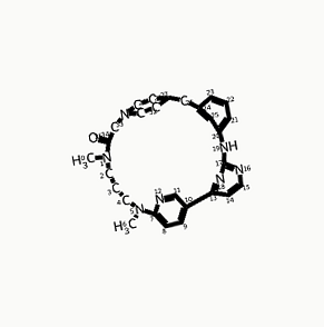 CN1CCCN(C)c2ccc(cn2)-c2ccnc(n2)Nc2cccc(c2)CC2CCN(CC2)CC1=O